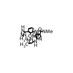 CNC(=O)c1cnc(Nc2cc(C)n(C)n2)cc1NC1(C)CC=CC(c2nnc[nH]2)=C1OC